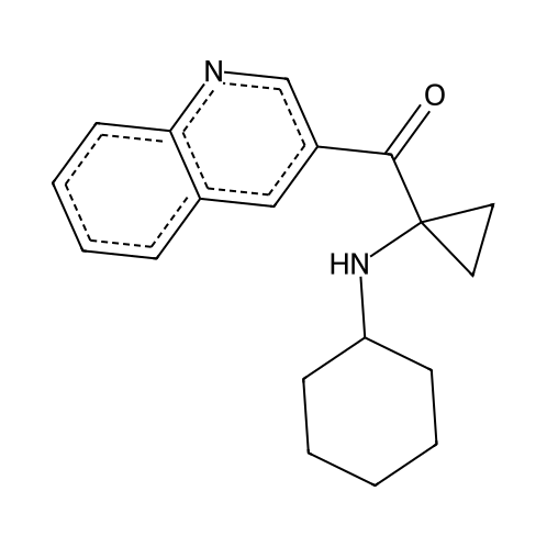 O=C(c1cnc2ccccc2c1)C1(NC2CCCCC2)CC1